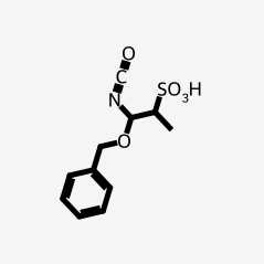 CC(C(N=C=O)OCc1ccccc1)S(=O)(=O)O